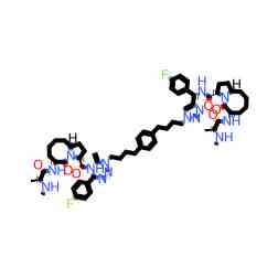 C=CN(CCCCc1ccc(CCCCn2cc([C@@H](NC(=O)[C@@H]3CC[C@@H]4CCCC[C@H](NC(=O)[C@H](C)NC)C(=O)N43)c3ccc(F)cc3)nn2)cc1)/N=N\C(NC(=O)[C@@H]1CC[C@@H]2CCCC[C@H](NC(=O)[C@H](C)NC)C(=O)N21)c1ccc(F)cc1